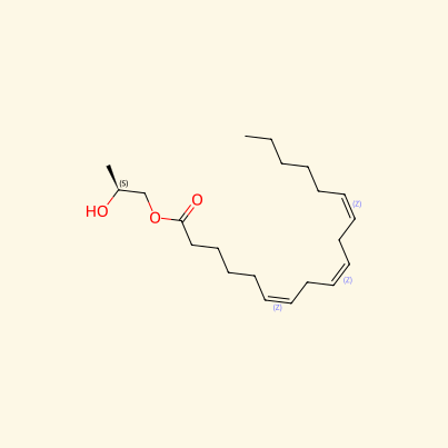 CCCCC/C=C\C/C=C\C/C=C\CCCCC(=O)OC[C@H](C)O